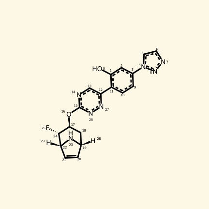 Oc1cc(-n2ccnn2)ccc1-c1cnc(O[C@H]2C[C@@H]3C=C[C@@H](N3)[C@@H]2F)nn1